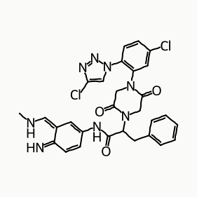 CN/C=C1/C=C(NC(=O)C(Cc2ccccc2)N2CC(=O)N(c3cc(Cl)ccc3-n3cc(Cl)nn3)CC2=O)C=CC1=N